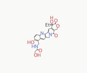 CC[C@@]1(O)C(=O)OCc2c1cc1n(c2=O)Cc2cc3c(CNC(=O)CO)c(O)ccc3nc2-1